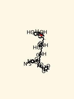 CC1=C(C)C(=O)C(C(C)(C)CC(=O)N(C)CCN(CCCC(=O)NCCCCC(NC(=O)CC[C@@H](C)[C@H]2CC[C@H]3[C@@H]4[C@@]5(O)C[C@@H]6C[C@H](O)CC[C@]6(C)[C@]4(CC[C@]23C)C5)C(=O)O)C(=O)Oc2ccc3nc(C#N)sc3c2)=C(C)C1=O